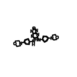 c1cc(N2CCOCC2)ccc1Nc1nc2nonc2nc1Nc1ccc(N2CCOCC2)cc1